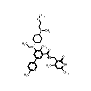 CCN(c1cc(-c2ccc(C)nc2)cc(C(=O)NCc2c(C)cc(C)[nH]c2=O)c1C)[C@H]1CC[C@H](N(C)CCOC)CC1